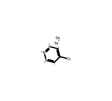 Clc1cnnnc1.[Se].[Se]